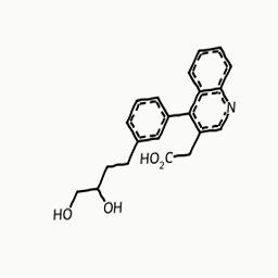 O=C(O)Cc1cnc2ccccc2c1-c1cccc(CCC(O)CO)c1